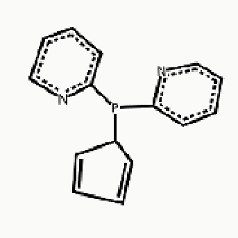 C1=CC(P(c2ccccn2)c2ccccn2)C=C1